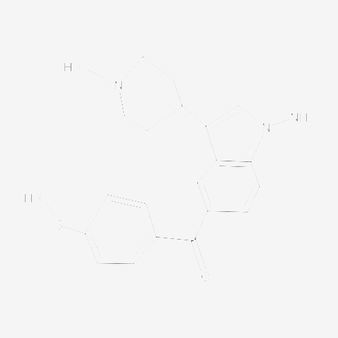 CSc1ccc(C(=O)c2ccc3c(c2)c(C2CCN(C)CC2)cn3N)cc1